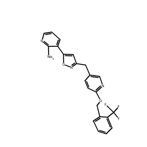 Nc1ncccc1-c1cc(Cc2ccc(OCc3ccccc3C(F)(F)F)nc2)no1